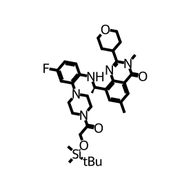 Cc1cc([C@@H](C)Nc2ccc(F)cc2N2CCN(C(=O)CO[Si](C)(C)C(C)(C)C)CC2)c2nc(C3CCOCC3)n(C)c(=O)c2c1